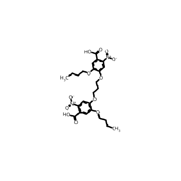 CCCCOc1cc(C(=O)O)c([N+](=O)[O-])cc1OCCCOc1cc([N+](=O)[O-])c(C(=O)O)cc1OCCCC